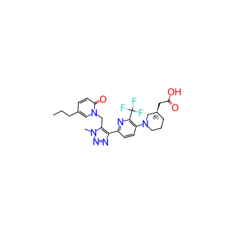 CCCc1ccc(=O)n(Cc2c(-c3ccc(N4CCC[C@H](CC(=O)O)C4)c(C(F)(F)F)n3)nnn2C)c1